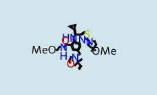 C=CC1(C)COCCN1Cc1ccc(NC(=C2CC2)c2csc(N3CCC(C)(OC)C3)n2)c(C(=O)NCCOC)c1